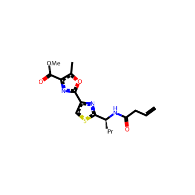 C=CCC(=O)N[C@H](c1nc(-c2nc(C(=O)OC)c(C)o2)cs1)C(C)C